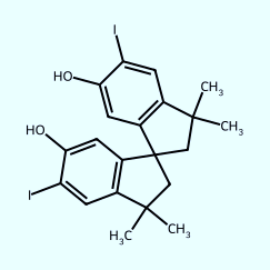 CC1(C)CC2(CC(C)(C)c3cc(I)c(O)cc32)c2cc(O)c(I)cc21